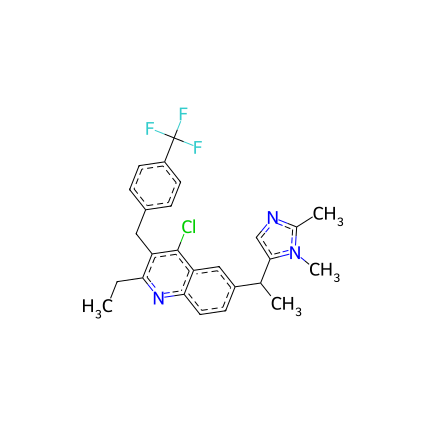 CCc1nc2ccc(C(C)c3cnc(C)n3C)cc2c(Cl)c1Cc1ccc(C(F)(F)F)cc1